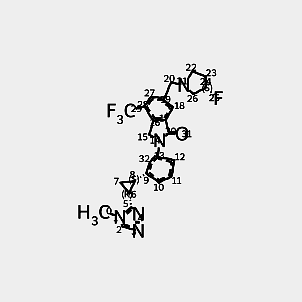 Cn1cnnc1[C@@H]1C[C@@H]1c1cccc(N2Cc3c(cc(CN4CC[C@H](F)C4)cc3C(F)(F)F)C2=O)c1